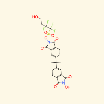 CC(C)(c1ccc2c(c1)C(=O)N(O)C2=O)c1ccc2c(c1)C(=O)N(OS(=O)(=O)C(F)(F)C(F)(F)CCO)C2=O